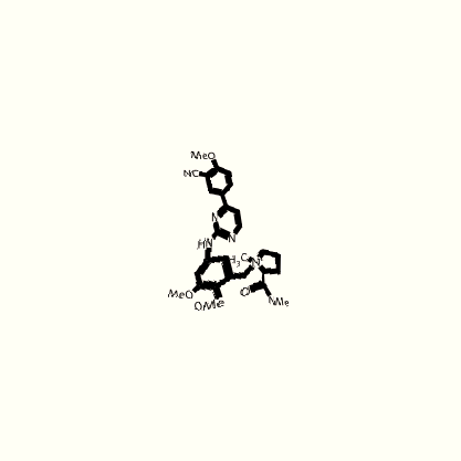 CNC(=O)[C@@H]1CCC[N+]1(C)Cc1cc(Nc2nccc(-c3ccc(OC)c(C#N)c3)n2)cc(OC)c1OC